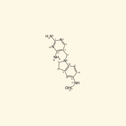 Nc1ncc(CN2CCc3cc(NC=O)ccc32)c(N)n1